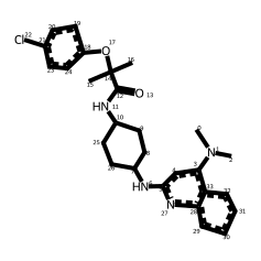 CN(C)c1cc(NC2CCC(NC(=O)C(C)(C)Oc3ccc(Cl)cc3)CC2)nc2ccccc12